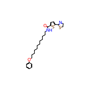 O=C(NCCCCCCCCCCCCOc1ccccc1)c1ccc(C2=NCCS2)s1